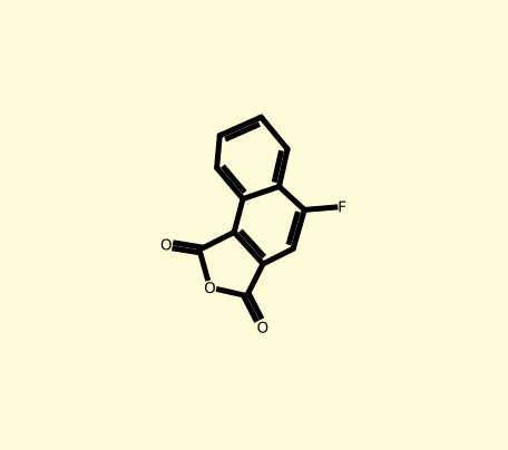 O=C1OC(=O)c2c1cc(F)c1ccccc21